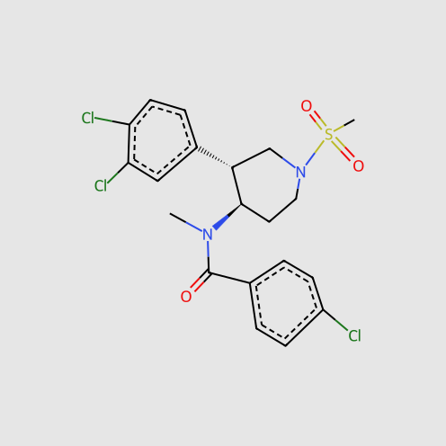 CN(C(=O)c1ccc(Cl)cc1)[C@@H]1CCN(S(C)(=O)=O)C[C@H]1c1ccc(Cl)c(Cl)c1